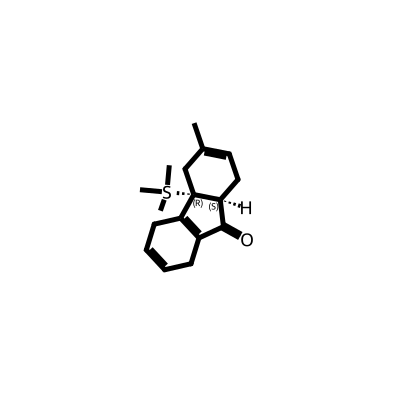 CC1=CC[C@H]2C(=O)C3=C(CC=CC3)[C@@]2(S(C)(C)C)C1